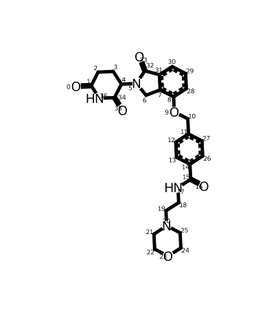 O=C1CCC(N2Cc3c(OCc4ccc(C(=O)NCCN5CCOCC5)cc4)cccc3C2=O)C(=O)N1